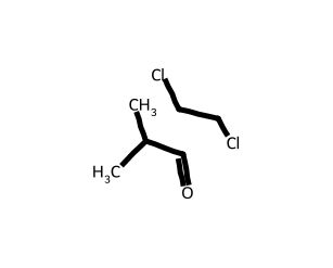 CC(C)C=O.ClCCCl